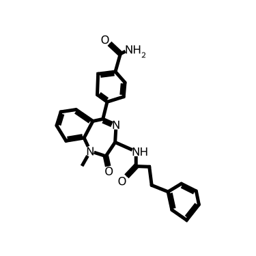 CN1C(=O)C(NC(=O)CCc2ccccc2)N=C(c2ccc(C(N)=O)cc2)c2ccccc21